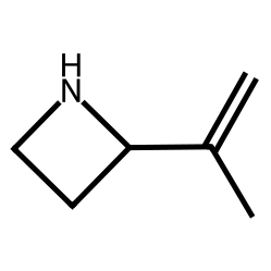 C=C(C)C1CCN1